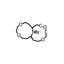 CC12CCOCCOCCC(C)(CCOCCOCC1)[N+]2=[N-]